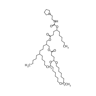 C[CH]CCCC(CCCCC)CCCC(COC(=O)CCC(CCCCCC)OC(=O)NCCN1CCCC1)COC(=O)CCC(OCCCCCCCC)OCCCCCCCC